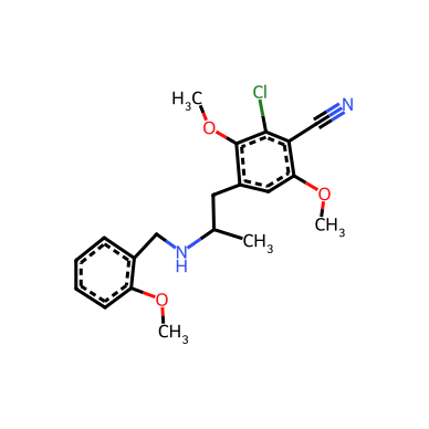 COc1ccccc1CNC(C)Cc1cc(OC)c(C#N)c(Cl)c1OC